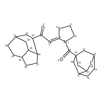 O=C(/N=C1\SCCN1C(=O)C12CC3CCC(C1)C(C3)C2)C1CC2CCC3CCC1C3C2